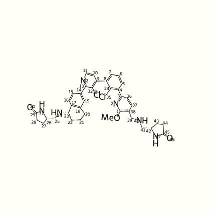 COc1nc(-c2cccc(-c3ccnc(-c4ccc5c(c4)CCC[C@@H]5NC[C@@H]4CCC(=O)N4)c3Cl)c2Cl)ccc1CNC[C@@H]1CCC(=O)N1